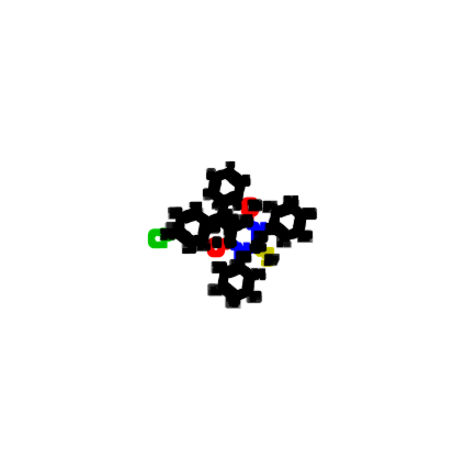 O=C1C(=C(c2ccccc2)c2ccc(Cl)cc2)C(=O)N(c2ccccc2)C(=S)N1c1ccccc1